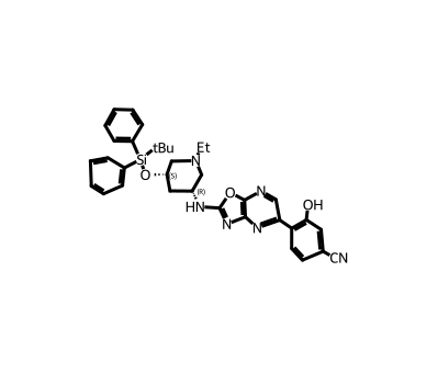 CCN1C[C@H](Nc2nc3nc(-c4ccc(C#N)cc4O)cnc3o2)C[C@H](O[Si](c2ccccc2)(c2ccccc2)C(C)(C)C)C1